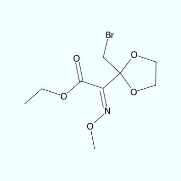 CCOC(=O)C(=NOC)C1(CBr)OCCO1